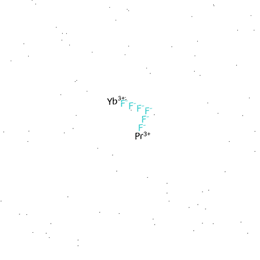 [F-].[F-].[F-].[F-].[F-].[F-].[Pr+3].[Yb+3]